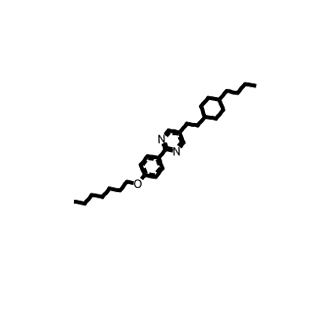 CCCCCCCOc1ccc(-c2ncc(CCC3CCC(CCCC)CC3)cn2)cc1